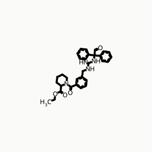 CCOC(=O)C1CCCCN1C(=O)c1cccc(CNC(=N)NC(C=O)(c2ccccc2)c2ccccc2)c1